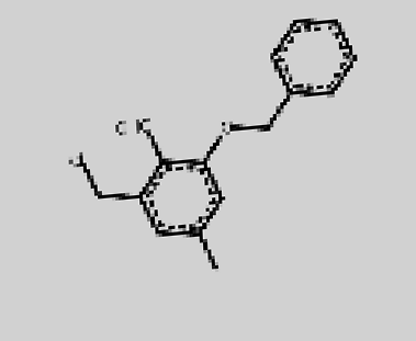 Cc1cc(CCl)c(C=O)c(OCc2ccccc2)c1